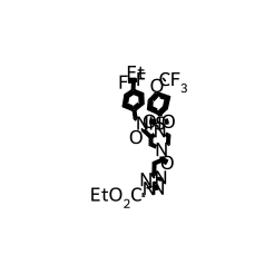 CCOC(=O)Cn1nnc(CC(=O)N2CCN(S(=O)(=O)c3ccc(OC(F)(F)F)cc3)C(C(=O)NCc3ccc(C(F)(F)CC)cc3)C2)n1